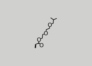 C=CC(=O)OCCOCCOCC(C)C